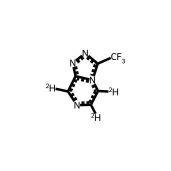 [2H]c1nc([2H])c2nnc(C(F)(F)F)n2c1[2H]